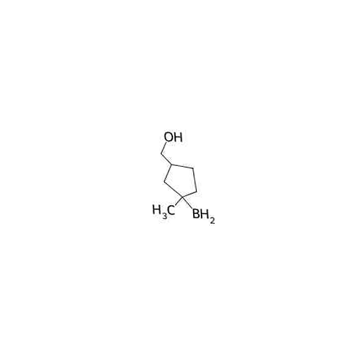 BC1(C)CCC(CO)C1